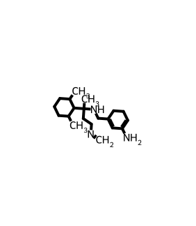 C=NCCC(C)(NCC1=CC(N)=CCC1)C1C(C)CCCC1C